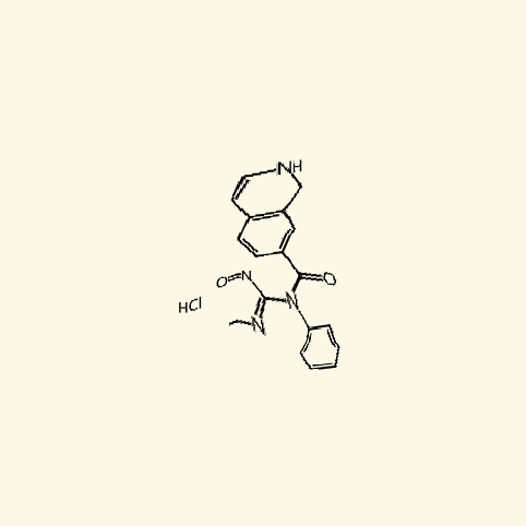 CN=C(N=O)N(C(=O)c1ccc2c(c1)CNC=C2)c1ccccc1.Cl